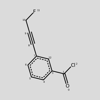 O=C(Cl)c1cccc(C#CCF)c1